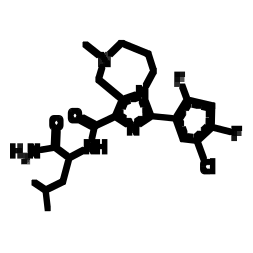 CC(C)CC(NC(=O)c1nc(-c2cc(Cl)c(F)cc2F)n2c1CN(C)CCC2)C(N)=O